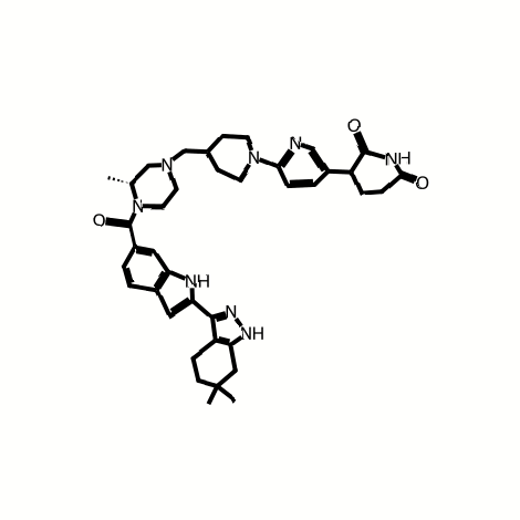 C[C@@H]1CN(CC2CCN(c3ccc(C4CCC(=O)NC4=O)cn3)CC2)CCN1C(=O)c1ccc2cc(-c3n[nH]c4c3CCC(C)(C)C4)[nH]c2c1